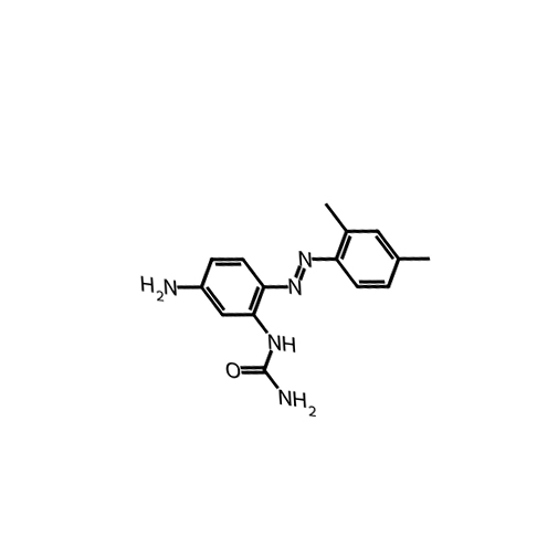 Cc1ccc(/N=N/c2ccc(N)cc2NC(N)=O)c(C)c1